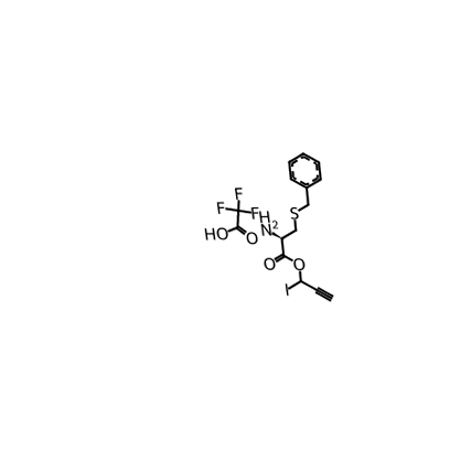 C#CC(I)OC(=O)[C@@H](N)CSCc1ccccc1.O=C(O)C(F)(F)F